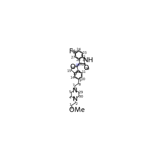 COCCN1CCN(CCc2ccc3c(c2)CO/C3=C2/C(=O)Nc3ccc(F)cc32)CC1